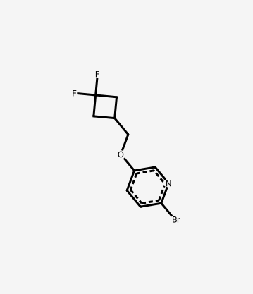 FC1(F)CC(COc2ccc(Br)nc2)C1